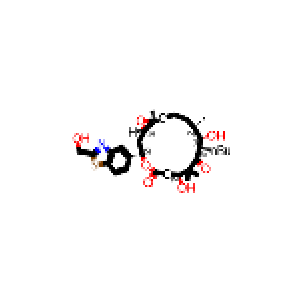 CCCC[C@H]1C(=O)C(C)(C)[C@@H](O)CC(=O)O[C@H](c2ccc3sc(CO)nc3c2)C[C@@H]2O[C@]2(C)CCC[C@H](C)[C@@H]1O